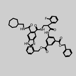 O=C(OCc1ccccc1)c1cc(NC(=O)C(CNC(=O)c2cc3nc[nH]c3cc2C(=O)NCC2CCCCCC2)c2ccccc2F)cc(C(=O)OCc2ccccc2)c1